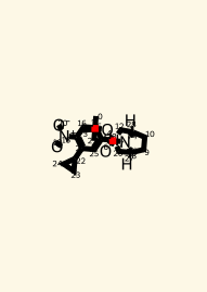 CC(C)(C)OC(=O)N1[C@@H]2CC[C@H]1CN(c1ccc([N+](=O)[O-])c(C3CC3)c1)C2